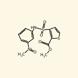 COC(=O)c1sccc1S(=O)(=O)Nc1cccc([N+](C)=O)c1